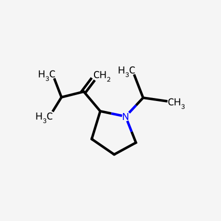 C=C(C(C)C)C1CCCN1C(C)C